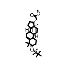 COC(=O)C[C@H]1CC[C@H]2[C@@H]3CC=C4C(C)(C)[C@@H](O[Si](C)(C)C(C)(C)C)CC[C@]4(C)[C@H]3CC[C@]12C